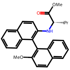 COC(=O)[C@@H](Nc1ccc2ccccc2c1-c1c(OC)ccc2ccccc12)C(C)C